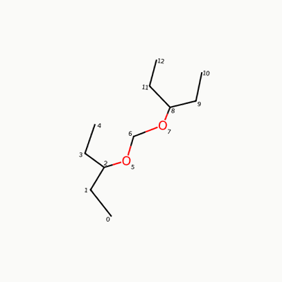 CCC(CC)OCOC(CC)CC